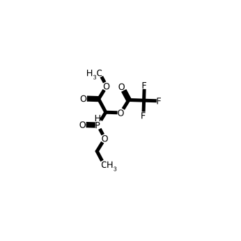 CCO[PH](=O)C(OC(=O)C(F)(F)F)C(=O)OC